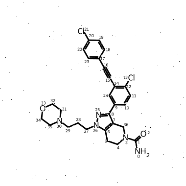 NC(=O)N1CCc2c(c(-c3ccc(Cl)c(C#Cc4ccc(Cl)cc4)c3)nn2CCCN2CCOCC2)C1